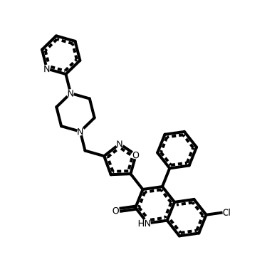 O=c1[nH]c2ccc(Cl)cc2c(-c2ccccc2)c1-c1cc(CN2CCN(c3ccccn3)CC2)no1